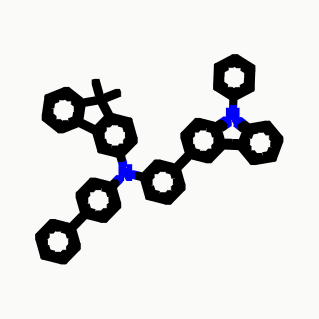 CC1(C)c2ccccc2-c2cc(N(c3ccc(-c4ccccc4)cc3)c3cccc(-c4ccc5c(c4)c4ccccc4n5-c4ccccc4)c3)ccc21